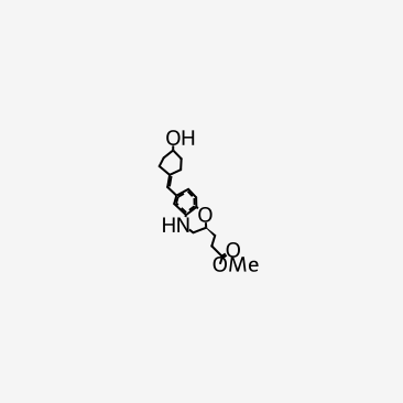 COC(=O)CC[C@H]1CNc2cc(C=C3CCC(O)CC3)ccc2O1